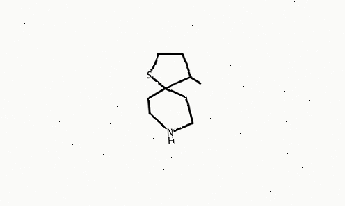 CC1CCSC12CCNCC2